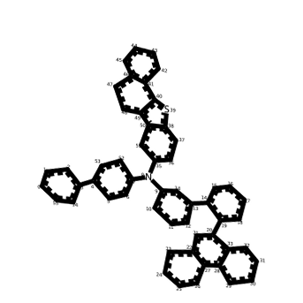 c1ccc(-c2ccc(N(c3cccc(-c4ccccc4-c4cc5ccccc5c5ccccc45)c3)c3ccc4sc5c6ccccc6ccc5c4c3)cc2)cc1